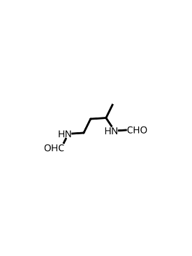 CC(CCNC=O)NC=O